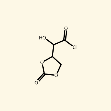 O=C1OCC(C(O)C(=O)Cl)O1